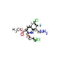 COC(=O)c1cc2cc(Cl)c(F)c(CN)c2nc1OC.Cl